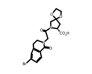 O=C(O)[C@@H]1CC2(CN1C(=O)CN1CCc3cc(Br)ccc3C1=O)OCCO2